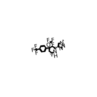 C[C@H]1C[C@@](OC(F)(F)F)(c2ccc(C(F)(F)F)cc2)C[C@@H](c2cn(C)nn2)N1